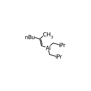 CCCC/C(C)=[CH]/[Al]([CH2]C(C)C)[CH2]C(C)C